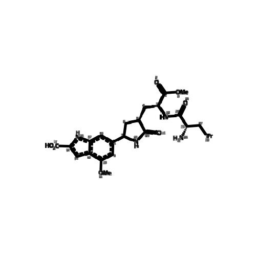 COC(=O)[C@H](C[C@@H]1CC(c2cc(OC)c3cc(C(=O)O)[nH]c3c2)NC1=O)NC(=O)[C@@H](N)CC(C)C